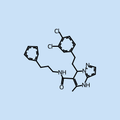 CC1=C(C(=O)NCCCc2ccccc2)C(CCc2ccc(Cl)c(Cl)c2)n2nccc2N1